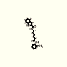 Nc1ccccc1NC(=O)CCCCCNC(=O)c1cc2c(F)cccc2[nH]1